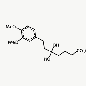 COc1ccc(CCC(O)(O)CCCC(=O)O)cc1OC